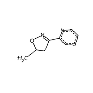 [CH2]C1CC(c2ccccn2)=NO1